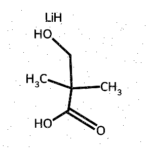 CC(C)(CO)C(=O)O.[LiH]